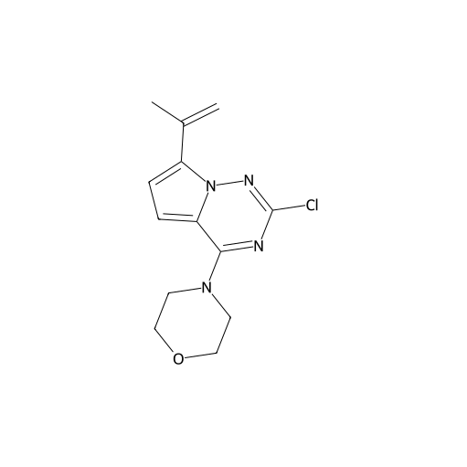 C=C(C)c1ccc2c(N3CCOCC3)nc(Cl)nn12